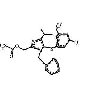 CC(C)c1nc(COC(N)=O)n(Cc2ccccc2)c1Sc1cc(Cl)cc(Cl)c1